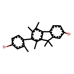 Cc1cc(Br)ccc1-c1c(C)c(C)c2c(c1C)C(C)(C)c1cc(Br)ccc1-2